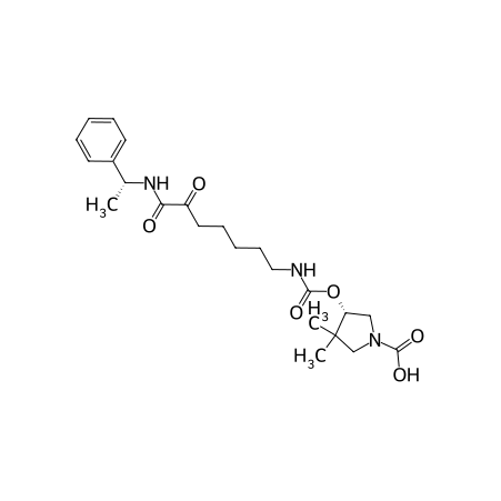 C[C@@H](NC(=O)C(=O)CCCCCNC(=O)O[C@@H]1CN(C(=O)O)CC1(C)C)c1ccccc1